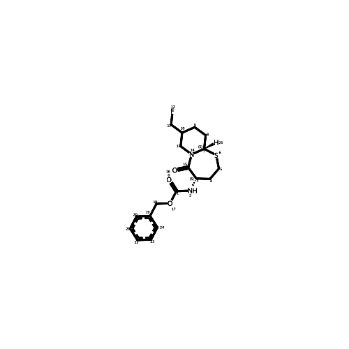 O=C(N[C@H]1CCS[C@H]2CCC(CF)CN2C1=O)OCc1ccccc1